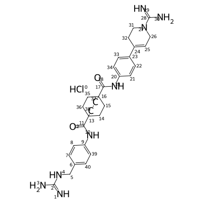 Cl.N=C(N)NCc1ccc(NC(=O)C23CCC(C(=O)Nc4ccc(C5=CCN(C(=N)N)CC5)cc4)(CC2)CC3)cc1